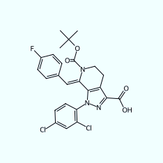 CC(C)(C)OC(=O)N1CCc2c(C(=O)O)nn(-c3ccc(Cl)cc3Cl)c2/C1=C/c1ccc(F)cc1